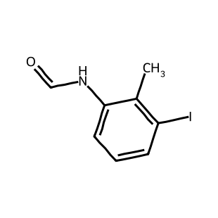 Cc1c(I)cccc1NC=O